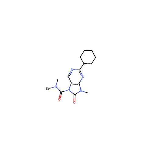 CCN(C)C(=O)n1c(=O)n(C)c2nc(C3CCCCC3)ncc21